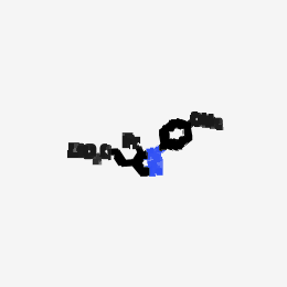 CCOC(=O)C=Cc1cnn(-c2ccc(OC)cc2)c1C(C)C